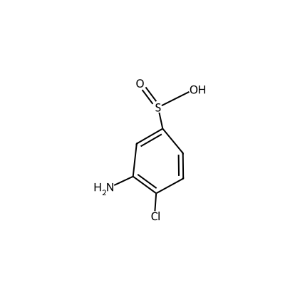 Nc1cc(S(=O)O)ccc1Cl